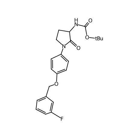 CC(C)(C)OC(=O)NC1CCN(c2ccc(OCc3cccc(F)c3)cc2)C1=O